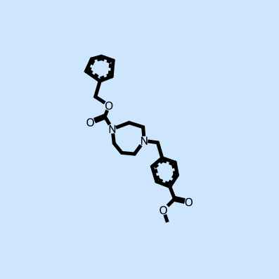 COC(=O)c1ccc(CN2CCCN(C(=O)OCc3ccccc3)CC2)cc1